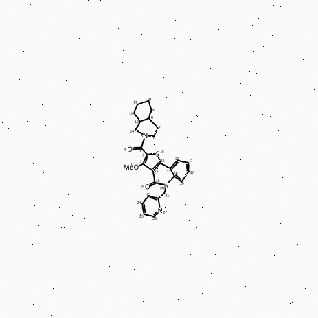 COc1c(C(=O)N2CCC3CCCCC3C2)sc2c1c(=O)n(Cc1ccccn1)c1ccccc21